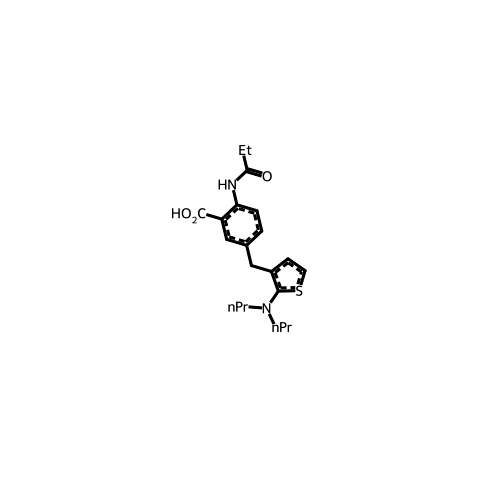 CCCN(CCC)c1sccc1Cc1ccc(NC(=O)CC)c(C(=O)O)c1